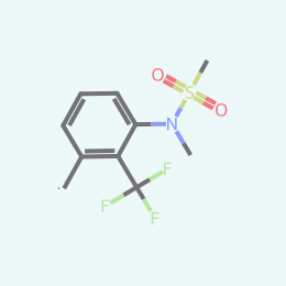 [CH2]c1cccc(N(C)S(C)(=O)=O)c1C(F)(F)F